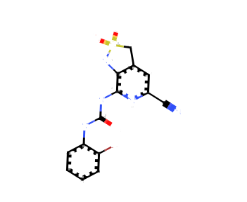 N#Cc1cc2c(c(NC(=O)Nc3ccccc3Br)n1)NS(=O)(=O)C2